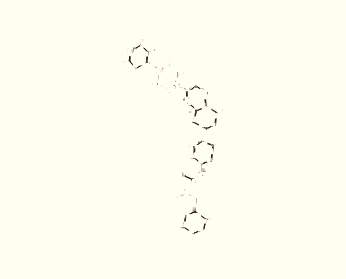 CN(Cc1ccccc1)C(=O)Nc1ccc(-c2ccc3ncc(N4CCN(c5ccncc5)CC4)nc3c2)cc1